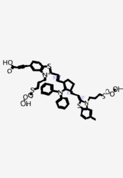 Cc1ccc2c(c1)N(CCCSOOO)/C(=C/C=C1\CCC(/C=C/c3sc4ccc(C#CC(=O)O)cc4[n+]3CCCSOOO)=C1N(c1ccccc1)c1ccccc1)S2